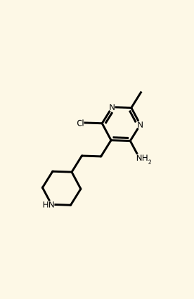 Cc1nc(N)c(CCC2CCNCC2)c(Cl)n1